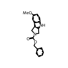 COc1ccc2[nH]c3c(c2c1)CN(C(=O)OCc1ccccc1)C3